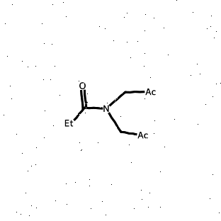 CCC(=O)N(CC(C)=O)CC(C)=O